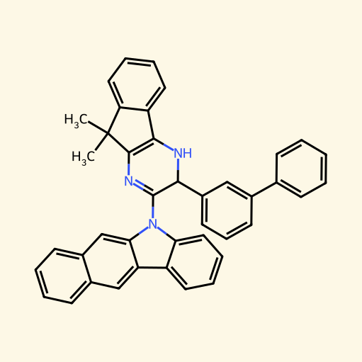 CC1(C)C2=C(NC(c3cccc(-c4ccccc4)c3)C(n3c4ccccc4c4cc5ccccc5cc43)=N2)c2ccccc21